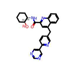 O=C(N[C@H]1CCCC[C@@H]1O)c1cc(Cc2ccc(-c3cncnc3)nc2)c2ccccc2n1